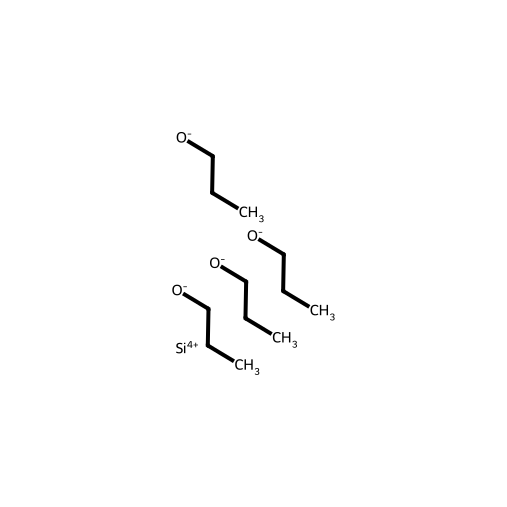 CCC[O-].CCC[O-].CCC[O-].CCC[O-].[Si+4]